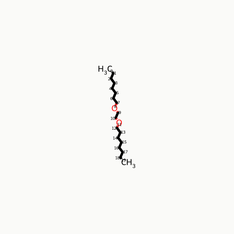 CCCCCCCCOCCOCCCCCCCC